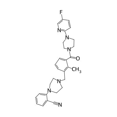 Cc1c(CN2CCN(c3ccccc3C#N)CC2)cccc1C(=O)N1CCN(c2ccc(F)cn2)CC1